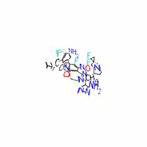 Cc1c(F)c(N)cc(-c2nc3c4c(nc(OC[C@@]56CCCN5C[C@]5(CC5(F)F)C6)nc4c2F)N([C@H](C)c2cncnc2N)CCO3)c1C(F)(F)F